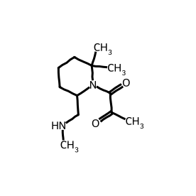 CNCC1CCCC(C)(C)N1C(=O)C(C)=O